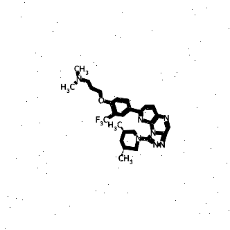 C[C@@H]1C[C@H](C)CN(c2nnc3cnc4ccc(-c5ccc(OCCCN(C)C)c(C(F)(F)F)c5)nc4n23)C1